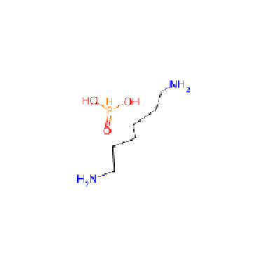 NCCCCCCN.O=[PH](O)O